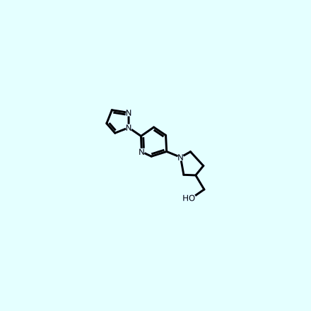 OCC1CCN(c2ccc(-n3cccn3)nc2)C1